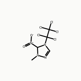 CN1N=CN(C(Cl)(Cl)C(Cl)(Cl)Cl)C1[N+](=O)[O-]